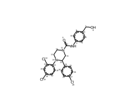 O=C(Nc1ccc(CO)cc1)N1CCN(c2ccc(Cl)cc2Cl)C(c2ccc(Cl)cc2)C1